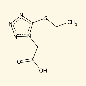 CCSc1nnnn1CC(=O)O